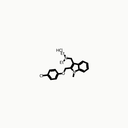 CCN(CC)Cc1c(COc2ccc(Cl)cc2)n(C)c2ccccc12.Cl